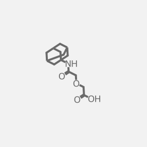 O=C(O)COCC(=O)NC12CC3CC(CC(C3)C1)C2